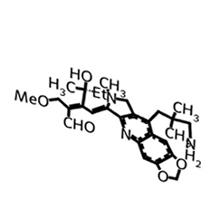 CC[C@](C)(O)C(/C=C1/c2nc3cc4c(cc3c(CC(C)(C)CN)c2CN1C)OCO4)=C(/C=O)COC